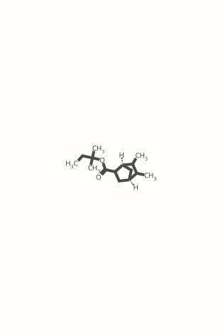 CCC(C)(C)OC(=O)C1C[C@H]2C[C@@H]1C(C)C2C